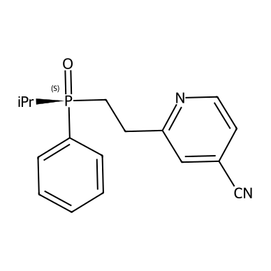 CC(C)[P@@](=O)(CCc1cc(C#N)ccn1)c1ccccc1